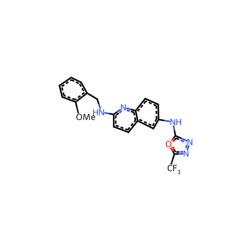 COc1ccccc1CNc1ccc2cc(Nc3nnc(C(F)(F)F)o3)ccc2n1